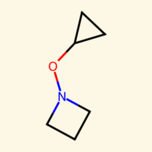 C1CN(OC2CC2)C1